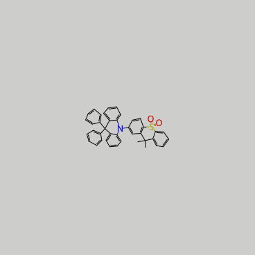 CC1(C)c2ccccc2S(=O)(=O)c2ccc(N3c4ccccc4C(c4ccccc4)(c4ccccc4)c4ccccc43)cc21